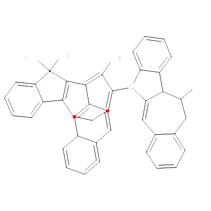 CC1=C(/C2=CC3C=CC=C=C3C=C2)C2=C(CC/C=C\1N1C3=Cc4ccccc4CC(C)C3c3ccccc31)c1ccccc1C2(C)C